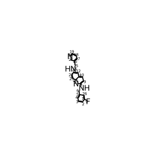 Fc1cccc(CNc2ccc3cc(NCc4cccnc4)ccc3n2)c1